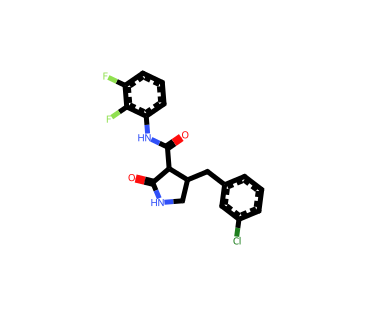 O=C1NCC(Cc2cccc(Cl)c2)C1C(=O)Nc1cccc(F)c1F